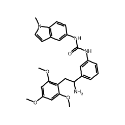 COc1cc(OC)c(CC(N)c2cccc(NC(=O)Nc3ccc4c(ccn4C)c3)c2)c(OC)c1